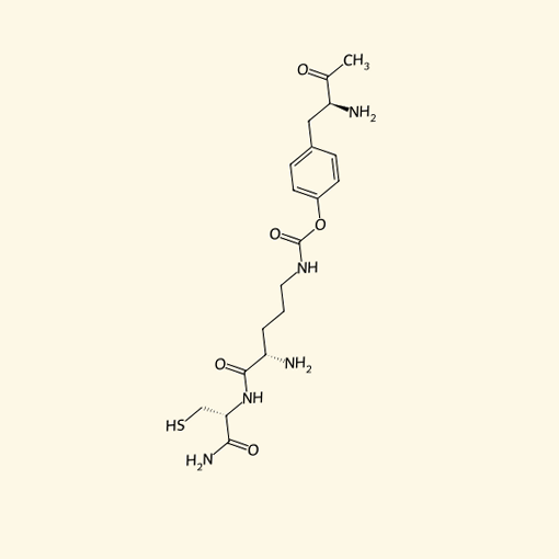 CC(=O)[C@@H](N)Cc1ccc(OC(=O)NCCC[C@H](N)C(=O)N[C@@H](CS)C(N)=O)cc1